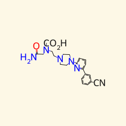 N#Cc1cccc(-c2cccc(N3CCN(CCN(CC(N)=O)C(=O)O)CC3)n2)c1